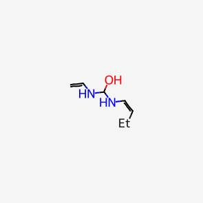 C=CNC(O)N/C=C\CC